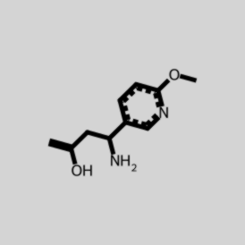 C=C(O)CC(N)c1ccc(OC)nc1